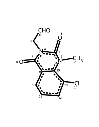 Cn1c(=O)n(CC=O)c(=O)c2cccc(Cl)c21